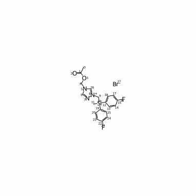 CC(=O)OCn1cn[n+](C[Si](C)(c2ccc(F)cc2)c2ccc(F)cc2)c1.[Br-]